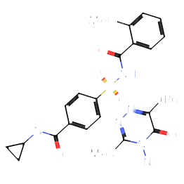 COc1ccccc1C(=O)NS(=O)(=O)c1ccc(C(=O)NC2CC2)cc1.CSc1nnc(C(C)(C)C)c(=O)n1N